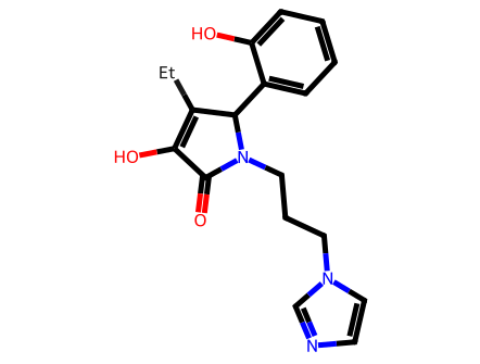 CCC1=C(O)C(=O)N(CCCn2ccnc2)C1c1ccccc1O